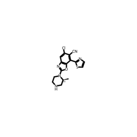 C[C@H]1CNCCN1c1nc2cc(Cl)c(C#N)c(-c3nccs3)c2o1